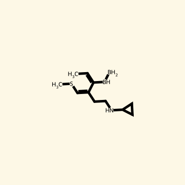 BBC(=C/C)/C(=C\SC)CCNC1CC1